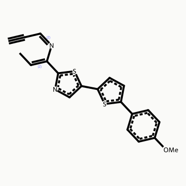 C#C/C=N\C(=C/C)c1ncc(-c2ccc(-c3ccc(OC)cc3)s2)s1